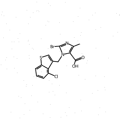 Cc1nc(Br)n(Cc2csc3cccc(Cl)c23)c1C(=O)O